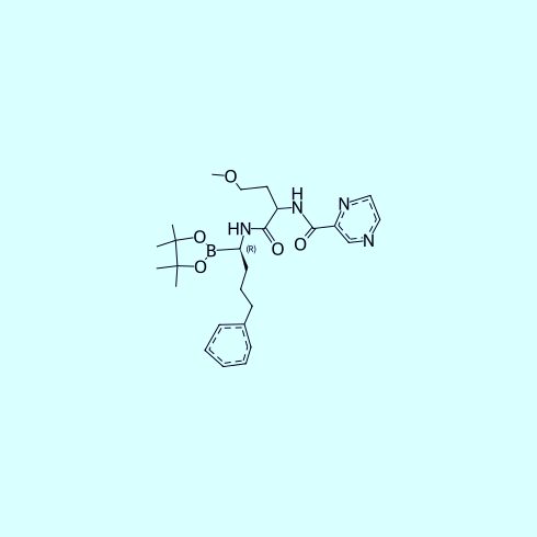 COCCC(NC(=O)c1cnccn1)C(=O)N[C@@H](CCCc1ccccc1)B1OC(C)(C)C(C)(C)O1